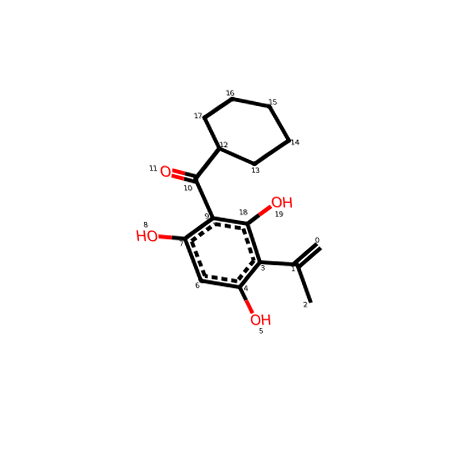 C=C(C)c1c(O)cc(O)c(C(=O)C2CCCCC2)c1O